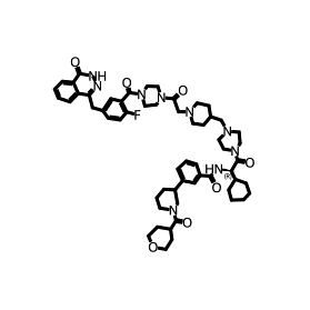 O=C(N[C@@H](C(=O)N1CCN(CC2CCN(CC(=O)N3CCN(C(=O)c4cc(Cc5n[nH]c(=O)c6ccccc56)ccc4F)CC3)CC2)CC1)C1CCCCC1)c1cccc(C2CCCN(C(=O)C3CCOCC3)C2)c1